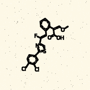 COC=C(C(=O)O)c1ccccc1C=C(F)c1csc(-c2ccc(Cl)c(Cl)c2)n1